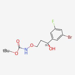 CC(C)(C)OC(=O)NOCC[C@H](O)c1cc(F)cc(Br)c1